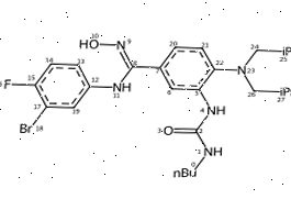 CCCCNC(=O)Nc1cc(C(=NO)Nc2ccc(F)c(Br)c2)ccc1N(CC(C)C)CC(C)C